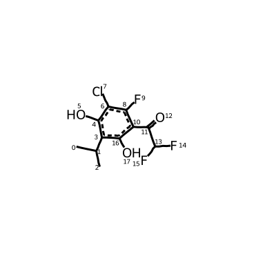 CC(C)c1c(O)c(Cl)c(F)c(C(=O)C(F)F)c1O